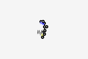 CC1(C)c2cc(-c3ccc(-c4ccc5ccc6cccnc6c5n4)c4ccccc34)ccc2-c2ccc3c(sc4ccccc43)c21